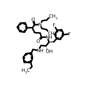 CCCN(CCC)C(=O)C(CCC(=O)N[C@@H](Cc1cc(F)cc(F)c1)[C@H](O)CNCc1cccc(CC)c1)c1ccccc1